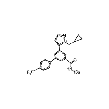 CC(C)(C)NC(=O)c1cc(-c2ccc(C(F)(F)F)cc2)cc(-c2ccnn2CC2CC2)c1